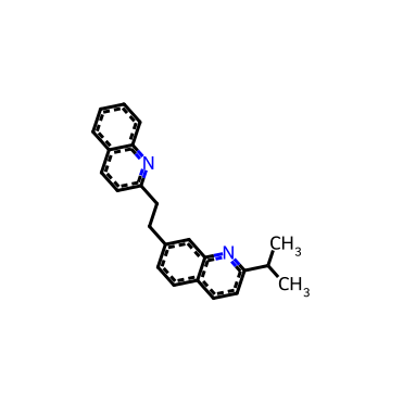 CC(C)c1ccc2ccc(CCc3ccc4ccccc4n3)cc2n1